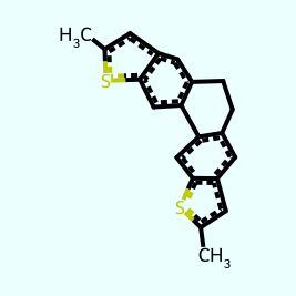 Cc1cc2cc3c(cc2s1)-c1cc2sc(C)cc2cc1CC3